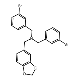 Brc1cccc(CN(Cc2cccc(Br)c2)Cc2ccc3c(c2)OCO3)c1